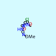 C=CC(=O)Nc1ccc(Cl)c2ccc(-c3cccc(C(=O)N[C@H]4CC[C@@H](N(C)CCOC)CC4)n3)cc12